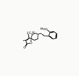 COc1ccccc1CCN1CCC2(CC1)OC(=O)C(C)=C2C(=O)O